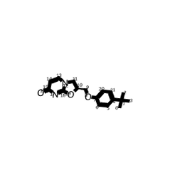 CC(C)(C)c1ccc(OC[C@@H]2Cn3ccc(=O)nc3O2)cc1